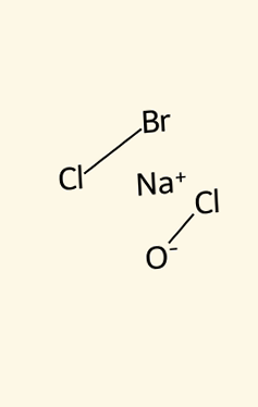 ClBr.[Na+].[O-]Cl